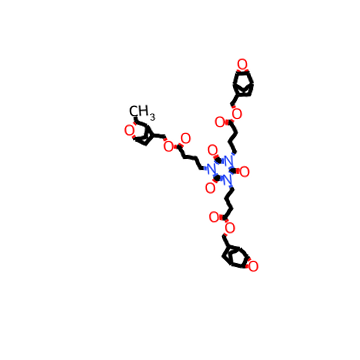 CC1OC2CC(COC(=O)CCCn3c(=O)n(CCCC(=O)OCC4CC5CC4C4OC54)c(=O)n(CCCC(=O)OCC4CC5CC4C4OC54)c3=O)C1C2